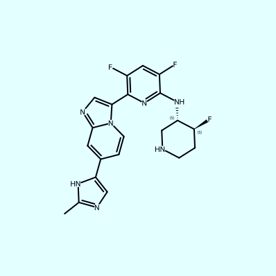 Cc1ncc(-c2ccn3c(-c4nc(N[C@H]5CNCC[C@@H]5F)c(F)cc4F)cnc3c2)[nH]1